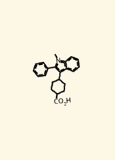 Cn1c(-c2ccccc2)c(C2CCC(C(=O)O)CC2)c2ccccc21